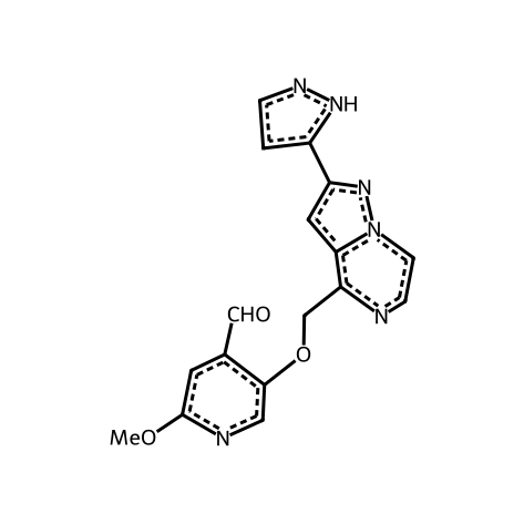 COc1cc(C=O)c(OCc2nccn3nc(-c4ccn[nH]4)cc23)cn1